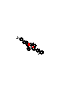 CC(C)(C)c1ccc(-c2ccc3c(c2)C(C)(C)c2ccc(-c4ccccc4N(c4ccc(-c5ccc6c(c5)sc5ccccc56)cc4)c4cccc5oc6ccccc6c45)cc2-3)cc1